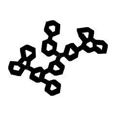 C1=CC2c3ccccc3N(c3ccc(-c4ccccc4)c(-c4cccc(N(c5ccc(-c6cc7ccccc7c7ccccc67)cc5)c5cccc(-c6ccccc6)c5)c4)c3)C2C=C1